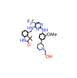 COc1cc(C2CCCN(CCO)C2)ccc1Nc1ncc(C(F)(F)F)c(NCc2cccc3c2C(C)(C)C(=O)N3)n1